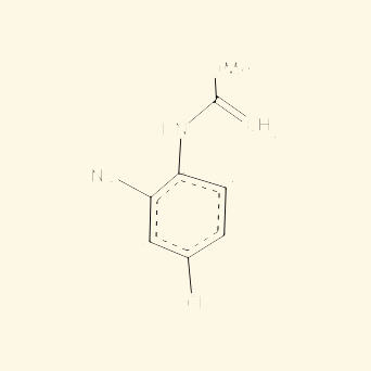 C=C(Nc1ccc(Cl)cc1C#N)OC